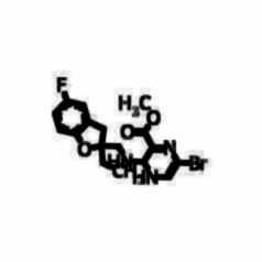 CCC1(CNC2NC=C(Br)N=C2C(=O)OC)Cc2cc(F)ccc2O1